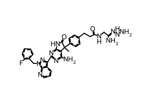 CC1(c2ccc(CCC(=O)NC/C(N)=N/NN)cc2)C(=O)Nc2nc(-c3nn(Cc4ccccc4F)c4ncccc34)nc(N)c21